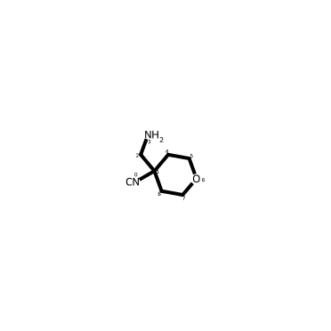 [C-]#[N+]C1(CN)CCOCC1